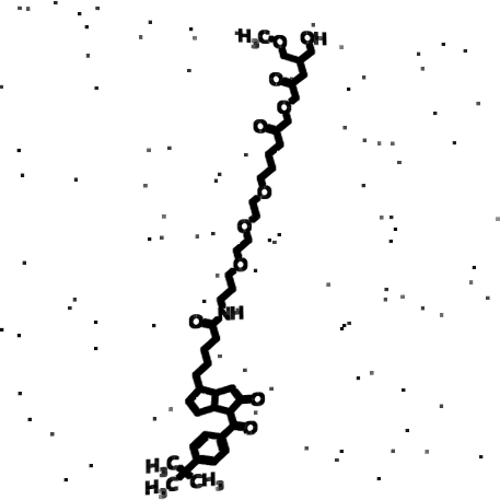 COCC(CO)CC(=O)COCC(=O)CCCCOCCOCCOCCCNC(=O)CCCCC1CCC2C(C(=O)c3ccc(C(C)(C)C)cc3)C(=O)CC12